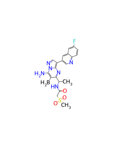 Bc1c(C(C)NC(=O)CS(C)(=O)=O)nc2c(-c3cnc4ccc(F)cc4c3)cnn2c1N